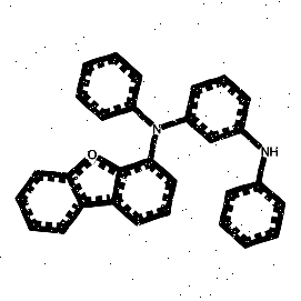 c1ccc(Nc2cccc(N(c3ccccc3)c3cccc4c3oc3ccccc34)c2)cc1